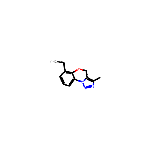 Cc1nnn2c1COc1c(CC=O)cccc1-2